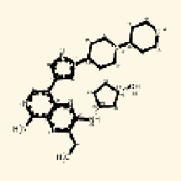 CCc1nc2c(N)ncc(-c3cnn(C4CCN(C5CCOCC5)CC4)c3)c2nc1N[C@@H]1CC[C@H](O)C1